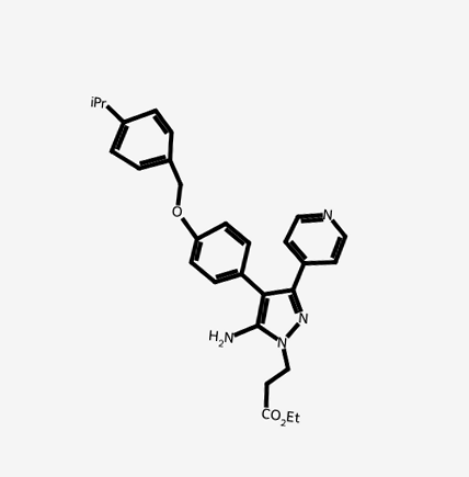 CCOC(=O)CCn1nc(-c2ccncc2)c(-c2ccc(OCc3ccc(C(C)C)cc3)cc2)c1N